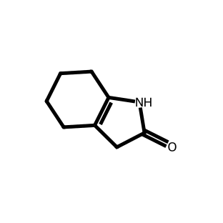 O=C1CC2=C(CCCC2)N1